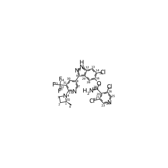 C[C@H]1CCN1c1ncc(-c2n[nH]c3cc(Cl)c(O[C@H](N)c4c(Cl)cncc4Cl)cc23)cc1C(F)(F)F